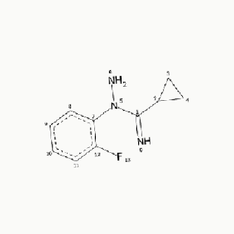 N=C(C1CC1)N(N)c1ccccc1F